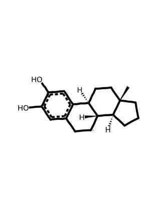 C[C@@]12CCC[C@H]1[C@@H]1[CH]Cc3cc(O)c(O)cc3[C@H]1CC2